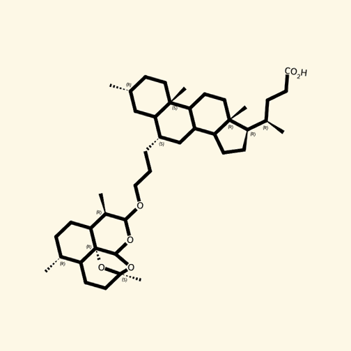 C[C@@H]1CC[C@]2(C)C3CC[C@@]4(C)C(CC[C@@H]4[C@H](C)CCC(=O)O)C3C[C@H](CCCOC3OC4O[C@@]5(C)CCC6[C@H](C)CCC([C@H]3C)[C@@]46O5)C2C1